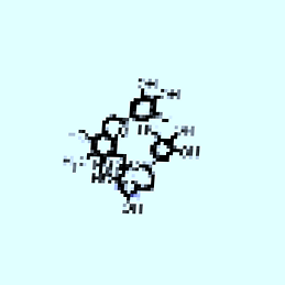 C/C1=C(O)\C=C(\O)C(C)(Cc2c(O)c(C)c(O)c3c2O[C@@H](c2cc(O)c(O)c(O)c2)CC3)O[C@@H](c2cc(O)c(O)c(O)c2)CC1